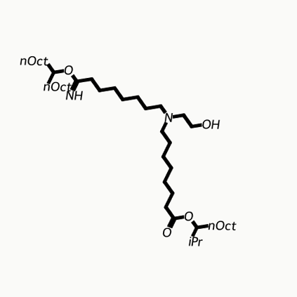 CCCCCCCCC(CCCCCCCC)OC(=N)CCCCCCCN(CCO)CCCCCCCC(=O)OC(CCCCCCCC)C(C)C